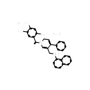 Cl.O=C(O)c1cc(Br)c(C(=O)N2C=C(CNc3cccc4ccccc34)C(c3ccccc3)=CC2)cc1Br